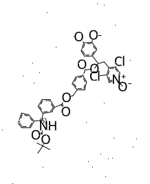 COc1ccc(C(Cc2c(Cl)c[n+]([O-])cc2Cl)OC(=O)c2ccc(COC(=O)c3cccc([C@@H](NC(=O)OC(C)(C)C)c4ccccc4)c3)cc2)cc1OC